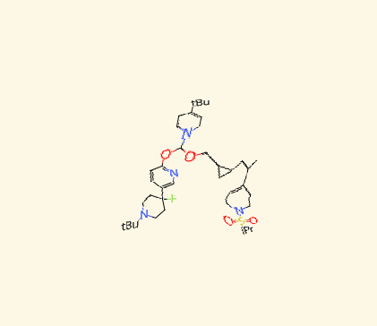 CC(CC1CC1COC(Oc1ccc(C2(F)CCN(C(C)(C)C)CC2)cn1)N1CC=C(C(C)(C)C)CC1)C1=CCN(S(=O)(=O)C(C)C)CC1